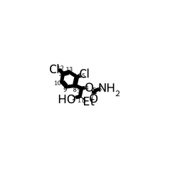 CC[C@H](O)C(OC(N)=O)c1ccc(Cl)cc1Cl